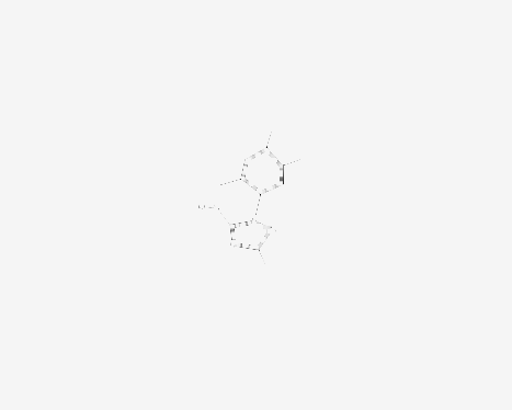 CNc1nc(C(F)(F)F)nn1-c1cc(S)c(C)cc1Cl